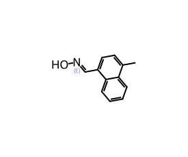 Cc1ccc(/C=N/O)c2ccccc12